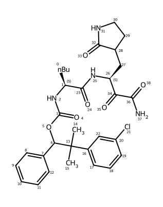 CCCC[C@H](NC(=O)OC(c1ccccc1)C(C)(C)c1cccc(Cl)c1)C(=O)N[C@@H](CC1CCNC1=O)C(=O)C(N)=O